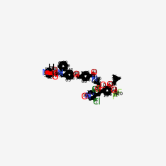 O=C(OC(Cc1c(Cl)c[n+]([O-])cc1Cl)c1ccc(OC(F)F)c(OCC2CC2)c1)C1CN(C(=O)c2ccc(COc3ccc(CN(C(=O)O[C@H]4CN5CCC4CC5)c4ccccc4)cc3)cc2)C1